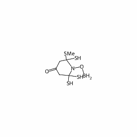 BON1C(S)(S)CC(=O)CC1(S)SC